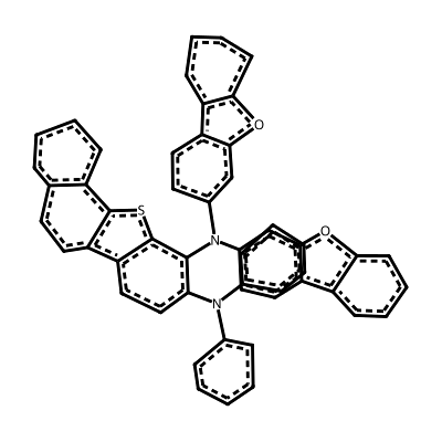 c1ccc(N(c2ccccc2)c2ccc3c(sc4c5ccccc5ccc34)c2N(c2ccc3c(c2)oc2ccccc23)c2ccc3c(c2)oc2ccccc23)cc1